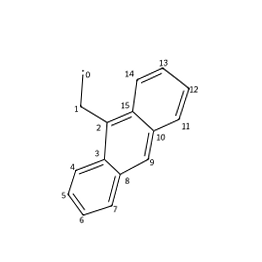 [CH2]Cc1c2ccccc2cc2ccccc12